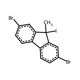 CC1(I)c2cc(Br)ccc2-c2ccc(Br)cc21